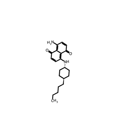 CCCCC[C@H]1CC[C@H](NC2=C3C(=O)C=CC(N)=C3C(=O)C=C2)CC1